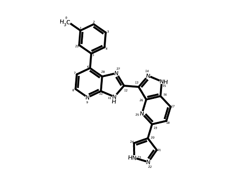 Cc1cccc(-c2ccnc3[nH]c(-c4n[nH]c5ccc(-c6cn[nH]c6)nc45)nc23)c1